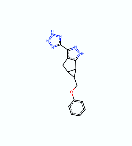 c1ccc(OCC2C3Cc4c(-c5nn[nH]n5)n[nH]c4C23)cc1